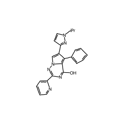 CC(C)n1ccc(-c2cn3nc(-c4ccccn4)nc(O)c3c2-c2ccccc2)n1